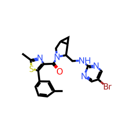 Cc1cccc(-c2sc(C)nc2C(=O)N2CC3CC3C2CNc2ncc(Br)cn2)c1